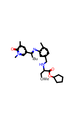 CCC(C)/C(=N\c1cc(CNC(COC)C(=O)OC2CCCC2)ccc1C)c1cc(C)c(=O)n(C)c1